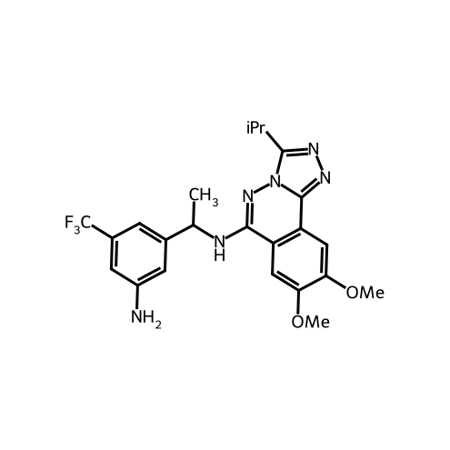 COc1cc2c(NC(C)c3cc(N)cc(C(F)(F)F)c3)nn3c(C(C)C)nnc3c2cc1OC